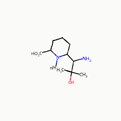 CCCN1C(C(=O)O)CCCC1C(N)C(C)(C)O